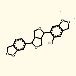 Oc1cc2c(cc1C1OCC3C(c4ccc5c(c4)OOC5)OCC13)OOC2